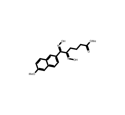 COC(=O)CCCC(=NO)C(=NO)c1ccc2cc(OC)ccc2c1